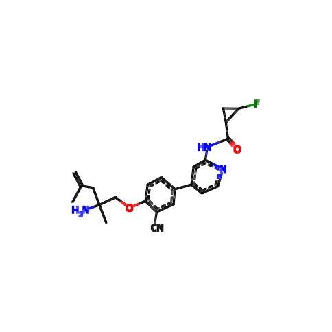 C=C(C)CC(C)(N)COc1ccc(-c2ccnc(NC(=O)C3CC3F)c2)cc1C#N